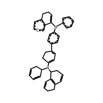 C1=CCC(N(C2=CC=C(c3ccc(N(C4=CCCc5ccccc54)c4ccccc4)cc3)CC2)C2CC=CC3=C2C=CCC3)C=C1